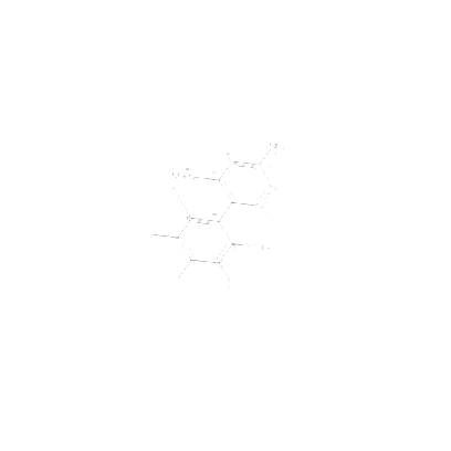 [2H]c1c(C)c(C)c(Cl)c(Cl)c1-c1nnc(N)nc1NC